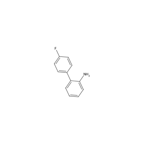 Nc1ccccc1-c1ccc(F)cc1